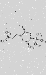 C[C@H]1CN(CCN(C)C)C(=O)CN1C(C)(C)C